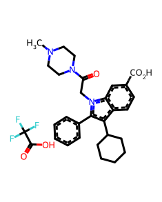 CN1CCN(C(=O)Cn2c(-c3ccccc3)c(C3CCCCC3)c3ccc(C(=O)O)cc32)CC1.O=C(O)C(F)(F)F